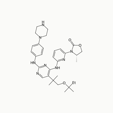 CCC(C)(C)OCC(C)(C)c1cnc(Nc2ccc(N3CCNCC3)cc2)nc1Nc1cccc(N2C(=O)OC[C@@H]2C)n1